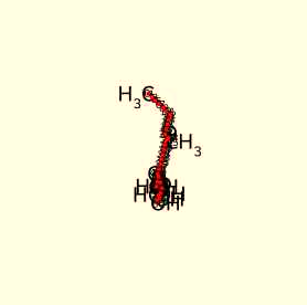 CCCCCCCCCCC/C=C\CCCCCC/C=C\C(=O)C(CC)CCCCCCCCCCCCCCC(=O)OC[C@H](CO)OP(=O)(O)OC[C@@H](O)[C@@H](O)[C@H](O)CO